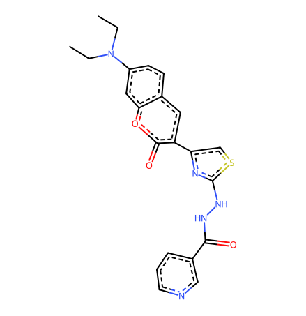 CCN(CC)c1ccc2cc(-c3csc(NNC(=O)c4cccnc4)n3)c(=O)oc2c1